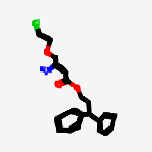 NC(=CC(=O)OCCC(c1ccccc1)c1ccccc1)COCCCl